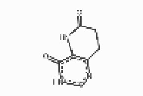 O=C1CCc2nc[nH]c(=O)c2N1